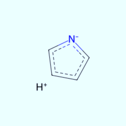 [H+].c1cc[n-]c1